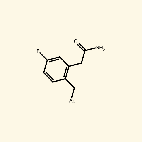 CC(=O)Cc1ccc(F)cc1CC(N)=O